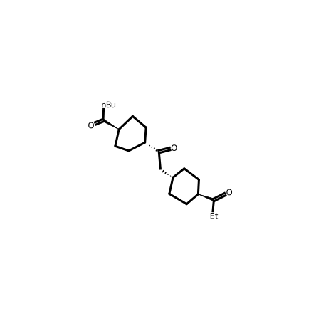 CCCCC(=O)[C@H]1CC[C@H](C(=O)C[C@H]2CC[C@H](C(=O)CC)CC2)CC1